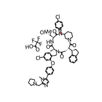 COC[C@@H]1NC(=O)[C@H](C)N(Cc2ccc(Cl)cc2Oc2ccc(-c3cnc(CN4CCCC4)n3C)cc2)C(=O)C[C@@H]([C@H]2CCc3ccccc32)C(=O)N2CCC[C@@](Cc3ccc(Cl)cc3)(C2)NC1=O.O=C(O)C(F)(F)F